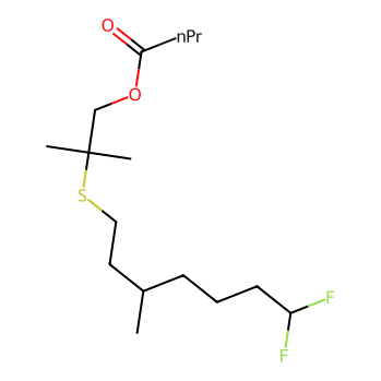 CCCC(=O)OCC(C)(C)SCCC(C)CCCC(F)F